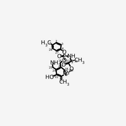 Cc1ccc(OP(=O)(N[C@@H](C)C(=O)OC(C)C)OCc2cnc(C)c(O)c2CN)cc1